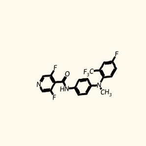 CN(c1ccc(NC(=O)c2c(F)cncc2F)cc1)c1ccc(F)cc1C(F)(F)F